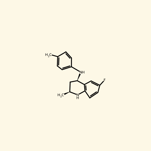 Cc1ccc(N[C@@H]2C[C@H](C)Nc3ccc(F)cc32)cc1